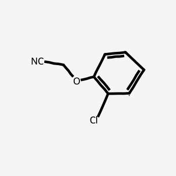 N#CCOc1ccc[c]c1Cl